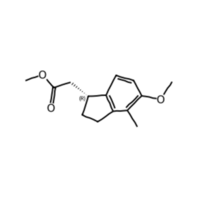 COC(=O)C[C@H]1CCc2c1ccc(OC)c2C